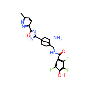 Cc1ccc(-c2nc(C34CCC(CNC(=O)c5cc(F)c(O)c(F)c5F)(CC3)CC4)no2)nn1.N